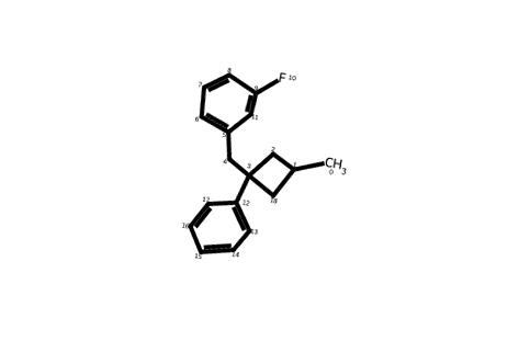 CC1CC(Cc2cccc(F)c2)(c2ccccc2)C1